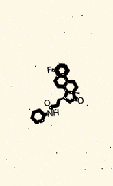 C[C@]12CCC3c4cccc(F)c4CCC3C1[C@H](CCC(=O)NC1CCCCC1)CC2=O